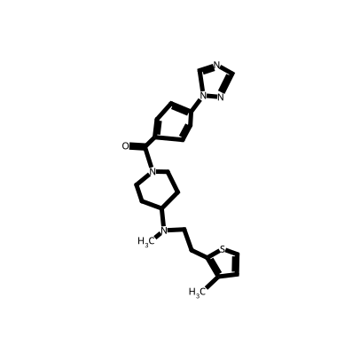 Cc1ccsc1CCN(C)C1CCN(C(=O)c2ccc(-n3cncn3)cc2)CC1